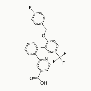 O=C(O)c1ccnc(-c2ccccc2-c2cc(C(F)(F)F)ccc2OCc2ccc(F)cc2)c1